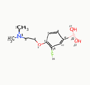 CN(C)CCOc1ccc(B(O)O)cc1F